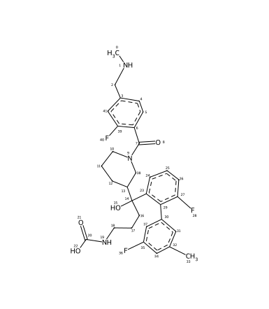 CNCc1ccc(C(=O)N2CCCC(C(O)(CCCNC(=O)O)c3cccc(F)c3-c3cc(C)cc(F)c3)C2)c(F)c1